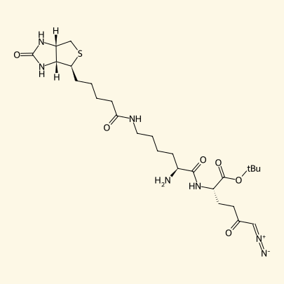 CC(C)(C)OC(=O)[C@H](CCC(=O)C=[N+]=[N-])NC(=O)[C@@H](N)CCCCNC(=O)CCCC[C@@H]1SC[C@H]2NC(=O)N[C@@H]12